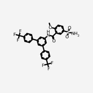 COc1ccc(S(N)(=O)=O)cc1C(=O)Nc1cc(-c2ccc(C(F)(F)F)cc2)cc(-c2ccc(C(F)(F)F)cc2)c1